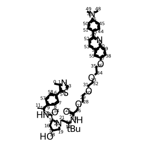 Cc1ncsc1-c1ccc([C@H](C)NC(=O)[C@@H]2C[C@@H](O)CN2C[C@@H](NC(=O)COCCOCCOCCOc2ccc3nc(-c4ccc(N(C)C)cc4)ccc3c2)C(C)(C)C)cc1